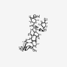 O=C(O)c1ccc2c3ccc(C(=O)Nc4ccc(O)cc4)c4c(C(=O)Nc5ccc(O)cc5)ccc(c5ccc(C(=O)O)c1c25)c43